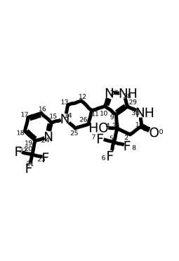 O=C1CC(O)(C(F)(F)F)c2c(C3CCN(c4cccc(C(F)(F)F)n4)CC3)n[nH]c2N1